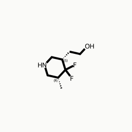 C[C@@H]1CNC[C@H](CCO)C1(F)F